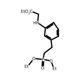 CCOC(=O)CNc1cccc(CCP(=O)(OCC)OCC)c1